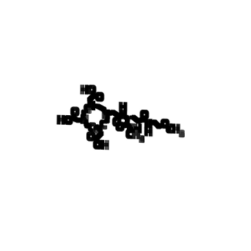 CNC(=O)[C@@H](CCC(=O)NCCOC)NC(=O)CN1CCN(CC(=O)O)CCN(CC(=O)O)CCN(CC(=O)O)CC1